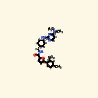 Cc1ccc(-c2ccc(C(=O)NC[C@H]3CC[C@@H](Nc4nccc(N(C)C)n4)CC3)o2)c([N+](=O)[O-])c1